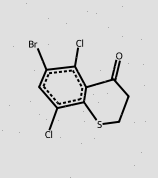 O=C1CCSc2c(Cl)cc(Br)c(Cl)c21